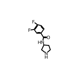 O=C(NC1CCNC1)c1ccc(F)c(F)c1